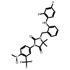 C[S+]([O-])c1ccc(N2C(=O)N(Cc3ccccc3Nc3ccc(F)cc3F)C(C)(C)C2=O)cc1C(F)(F)F